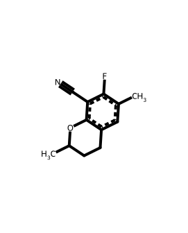 Cc1cc2c(c(C#N)c1F)OC(C)CC2